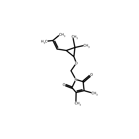 CC(C)=CC1C(OCN2C(=O)C(C)=C(C)C2=O)C1(C)C